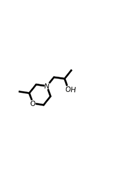 CC(O)CN1CCOC(C)C1